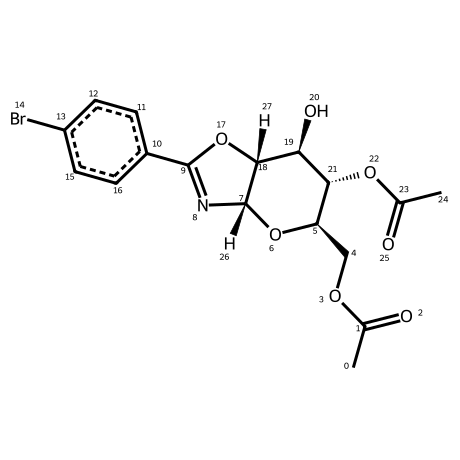 CC(=O)OC[C@H]1O[C@@H]2N=C(c3ccc(Br)cc3)O[C@@H]2[C@@H](O)[C@@H]1OC(C)=O